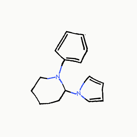 [c]1ccc(N2CCCCC2n2cccc2)cc1